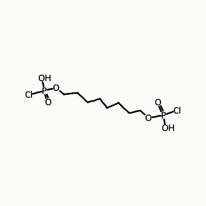 O=P(O)(Cl)OCCCCCCCCOP(=O)(O)Cl